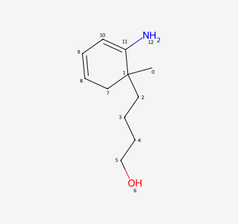 CC1(CCCCO)CC=CC=C1N